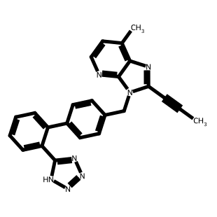 CC#Cc1nc2c(C)ccnc2n1Cc1ccc(-c2ccccc2-c2nnn[nH]2)cc1